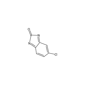 O=C1N=c2ccc(Cl)cc2=N1